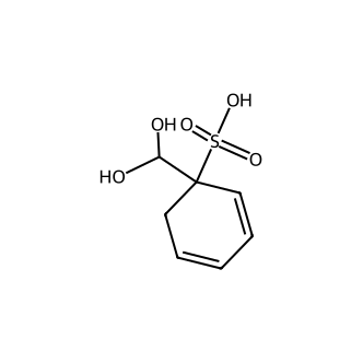 O=S(=O)(O)C1(C(O)O)C=CC=CC1